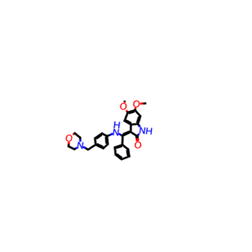 COc1cc2c(cc1OC)C(=C(Nc1ccc(CN3CCOCC3)cc1)c1ccccc1)C(=O)N2